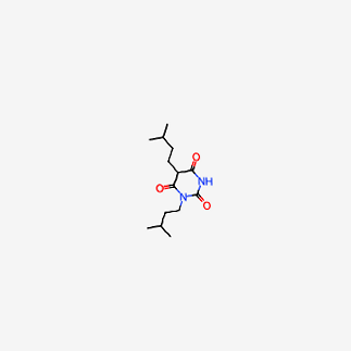 CC(C)CCC1C(=O)NC(=O)N(CCC(C)C)C1=O